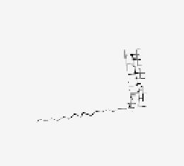 CCCCCCCCCCCCCCCCCC(=O)OC(C)C(F)(F)C(F)(F)C(F)(F)C(F)(F)C(F)(F)C(F)(F)C(F)(F)C(F)(F)F